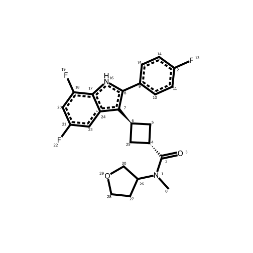 CN(C(=O)[C@H]1C[C@H](c2c(-c3ccc(F)cc3)[nH]c3c(F)cc(F)cc32)C1)C1CCOC1